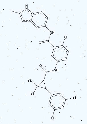 Cc1cc2cc(NC(=O)c3cc(NC(=O)C4C(c5cc(Cl)cc(Cl)c5)C4(Cl)Cl)ccc3Cl)ccc2[nH]1